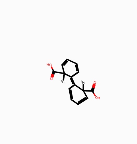 [2H]C1(C(=O)O)C=CC=CC1=C1C=CC=CC1([2H])C(=O)O